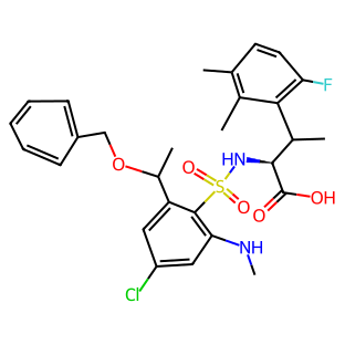 CNc1cc(Cl)cc(C(C)OCc2ccccc2)c1S(=O)(=O)N[C@H](C(=O)O)C(C)c1c(F)ccc(C)c1C